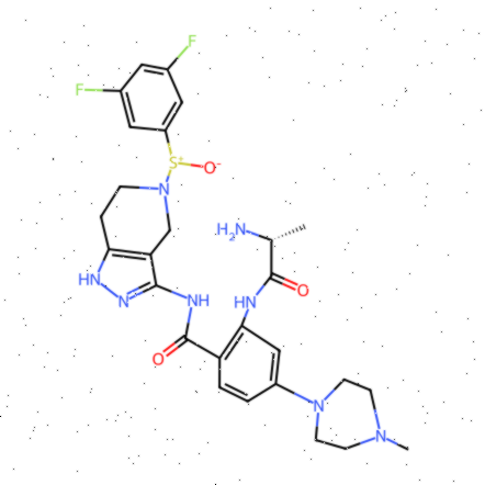 C[C@@H](N)C(=O)Nc1cc(N2CCN(C)CC2)ccc1C(=O)Nc1n[nH]c2c1CN([S+]([O-])c1cc(F)cc(F)c1)CC2